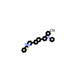 N#Cc1ccc2c3cc(-c4ccc5cc(-c6ccc7nc8c9ccccc9sc8n7c6)ccc5c4)ccc3n(C3=CC=CCC3)c2c1